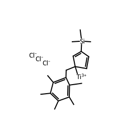 Cc1c(C)c(C)c(C[C]2([Ti+3])C=CC([Si](C)(C)C)=C2)c(C)c1C.[Cl-].[Cl-].[Cl-]